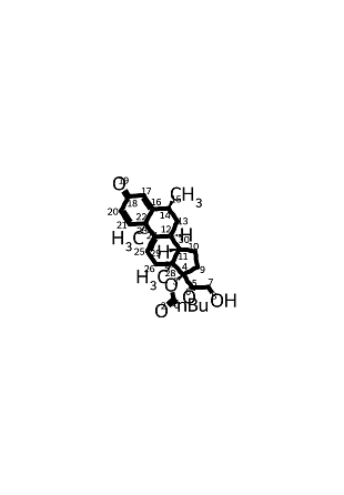 CCCCC(=O)O[C@]1(C(=O)CO)CC[C@H]2[C@@H]3C[C@H](C)C4=CC(=O)C=C[C@]4(C)C3=CC[C@@]21C